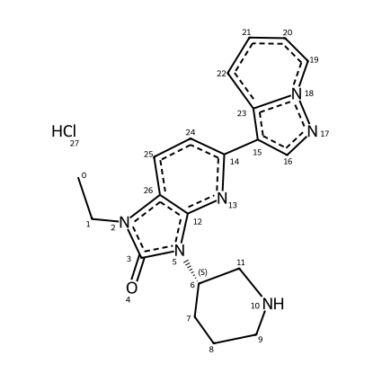 CCn1c(=O)n([C@H]2CCCNC2)c2nc(-c3cnn4ccccc34)ccc21.Cl